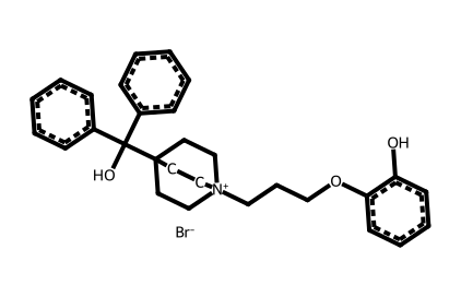 Oc1ccccc1OCCC[N+]12CCC(C(O)(c3ccccc3)c3ccccc3)(CC1)CC2.[Br-]